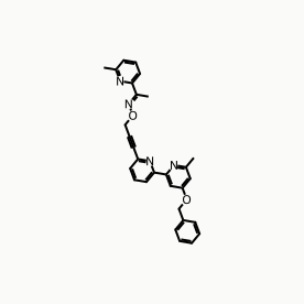 C/C(=N\OCC#Cc1cccc(-c2cc(OCc3ccccc3)cc(C)n2)n1)c1cccc(C)n1